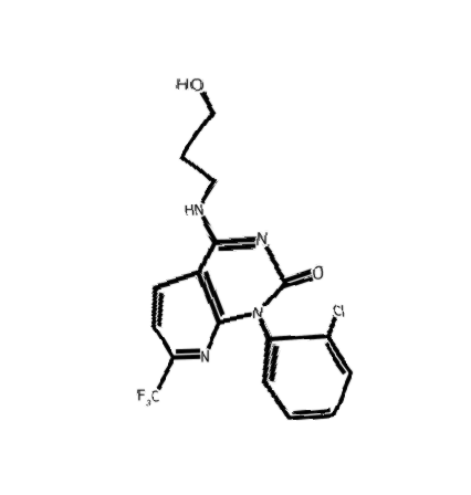 O=c1nc(NCCCO)c2ccc(C(F)(F)F)nc2n1-c1ccccc1Cl